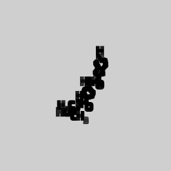 CC(C)(O)CNC(=O)c1ccc(NC(=O)N2C=C3C=CNC=C3C2)cc1